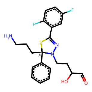 NCCC[C@@]1(c2ccccc2)SC(c2cc(F)ccc2F)=NN1CCC(O)C=O